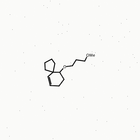 COCCCOC1CC[C]=CC12CCCC2